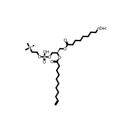 C=CCCCCCCCCC(=O)O[C@H](COC(=O)CCCCCCCCCCCCCCCCC)COP(=O)(O)OCC[N+](C)(C)C